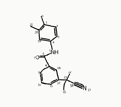 Cc1ccc(NC(=O)c2cccc(C(C)(C)C#N)c2)cc1C